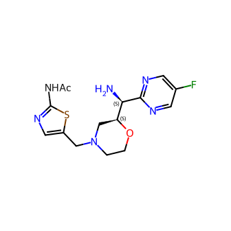 CC(=O)Nc1ncc(CN2CCO[C@H]([C@@H](N)c3ncc(F)cn3)C2)s1